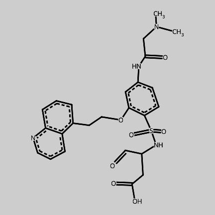 CN(C)CC(=O)Nc1ccc(S(=O)(=O)NC(C=O)CC(=O)O)c(OCCc2cccc3ncccc23)c1